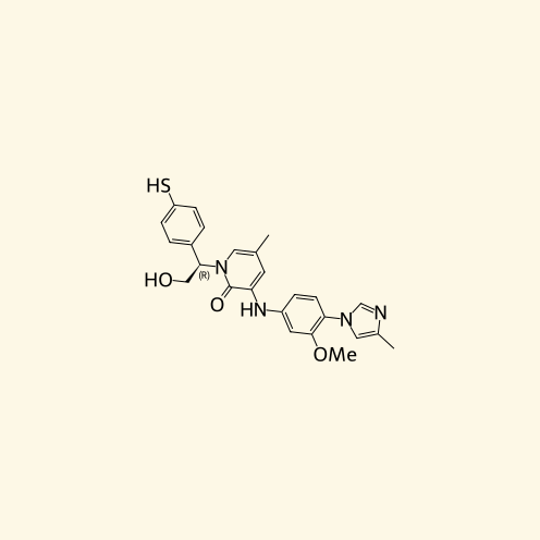 COc1cc(Nc2cc(C)cn([C@@H](CO)c3ccc(S)cc3)c2=O)ccc1-n1cnc(C)c1